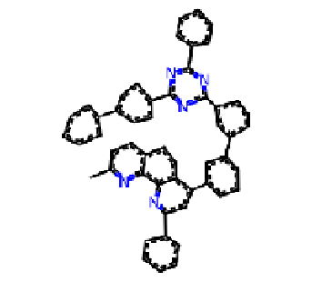 Cc1ccc2ccc3c(-c4cccc(-c5cccc(-c6nc(-c7ccccc7)nc(-c7ccc(-c8ccccc8)cc7)n6)c5)c4)cc(-c4ccccc4)nc3c2n1